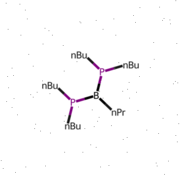 CCCCP(CCCC)B(CCC)P(CCCC)CCCC